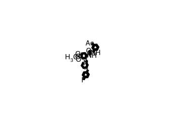 CC(=O)c1cccc(NC(=O)N[C@@H]2CCN(S(C)(=O)=O)C[C@H]2CN2CCC[C@@H](Cc3ccc(F)cc3)C2)c1